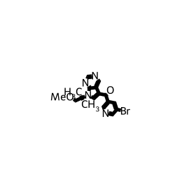 COCC(C)(C)n1cc(C(=O)c2cncc(Br)c2)c2cncnc21